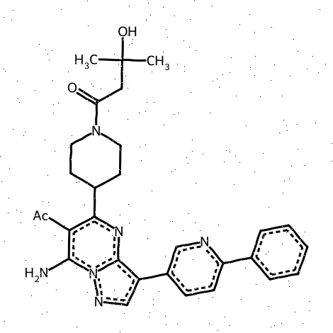 CC(=O)c1c(C2CCN(C(=O)CC(C)(C)O)CC2)nc2c(-c3ccc(-c4ccccc4)nc3)cnn2c1N